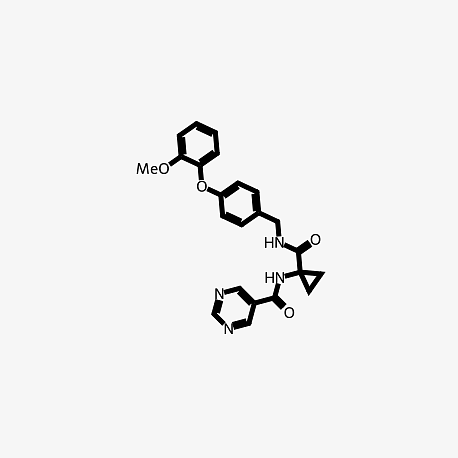 COc1ccccc1Oc1ccc(CNC(=O)C2(NC(=O)c3cncnc3)CC2)cc1